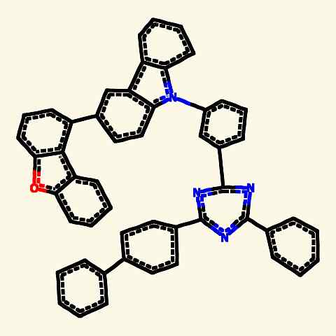 c1ccc(-c2ccc(-c3nc(-c4ccccc4)nc(-c4cccc(-n5c6ccccc6c6cc(-c7cccc8oc9ccccc9c78)ccc65)c4)n3)cc2)cc1